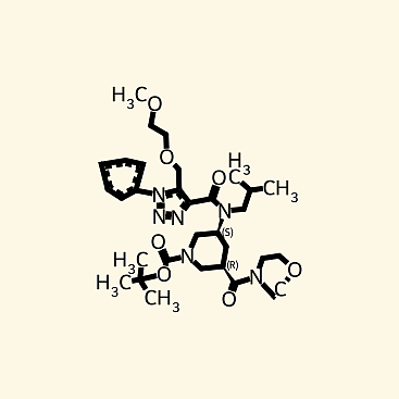 COCCOCc1c(C(=O)N(CC(C)C)[C@H]2C[C@@H](C(=O)N3CCOCC3)CN(C(=O)OC(C)(C)C)C2)nnn1-c1ccccc1